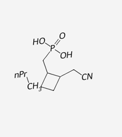 CCCC.N#CCC1CCC1CP(=O)(O)O